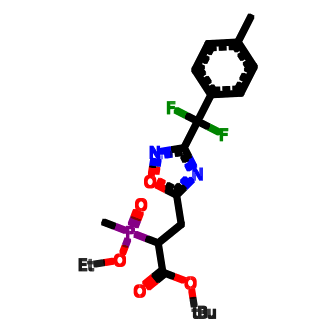 CCOP(C)(=O)C(Cc1nc(C(F)(F)c2ccc(C)cc2)no1)C(=O)OC(C)(C)C